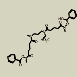 CN(CCCN(CC(=O)O)C(=O)CCCC(=O)N(C)OC(O)c1ccccc1)C(=O)CCCC(=O)N(C)OC(=O)c1ccccc1